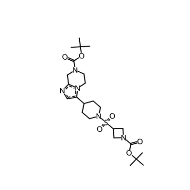 CC(C)(C)OC(=O)N1CCn2c(C3CCN(S(=O)(=O)C4CN(C(=O)OC(C)(C)C)C4)CC3)cnc2C1